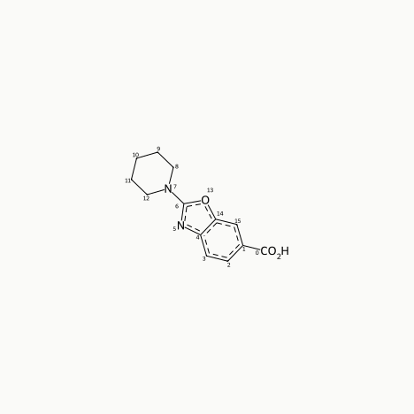 O=C(O)c1ccc2nc(N3CCCCC3)oc2c1